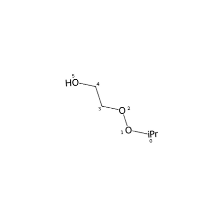 CC(C)OOCCO